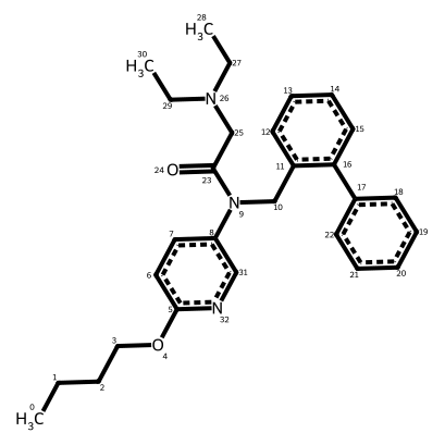 CCCCOc1ccc(N(Cc2ccccc2-c2ccccc2)C(=O)CN(CC)CC)cn1